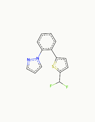 FC(F)c1ccc(-c2ccccc2-n2cccn2)s1